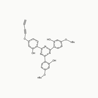 C#CC#COc1ccc(-c2nc(-c3ccc(OCCCC)cc3O)nc(-c3ccc(OCCCC)cc3O)n2)c(O)c1